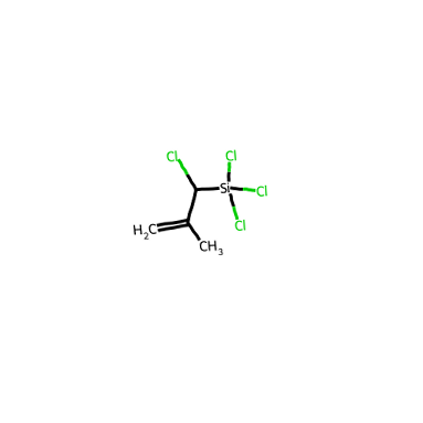 C=C(C)C(Cl)[Si](Cl)(Cl)Cl